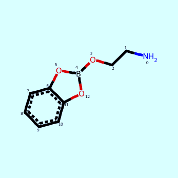 NCCOB1Oc2ccccc2O1